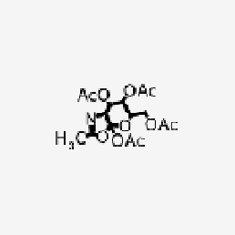 CC(=O)OCC1OC2(OC(C)=O)OC(C)=NC2C(OC(C)=O)C1OC(C)=O